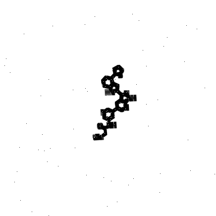 CC(C)(C)CC(=O)Nc1cncc(-c2cnc3[nH]nc(-c4cc5c(-c6cccs6)cccc5[nH]4)c3c2)c1